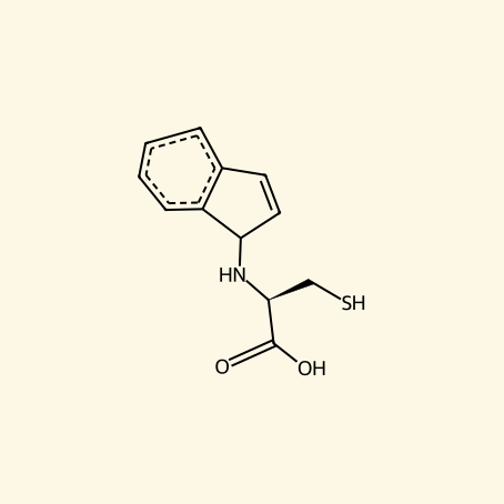 O=C(O)[C@H](CS)NC1C=Cc2ccccc21